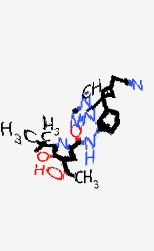 CC(O)c1cc(C(=O)Nc2cccc(C3(c4nncn4C)CC(CC#N)C3)c2)nc2c1OCC2(C)C